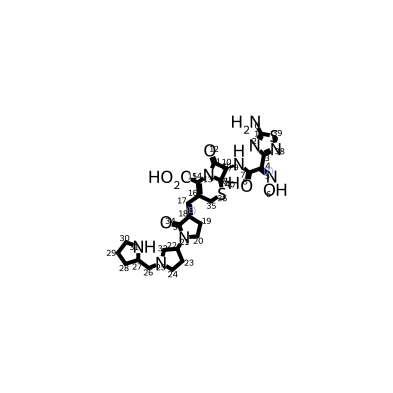 Nc1nc(/C(=N/O)C(=O)N[C@@H]2C(=O)N3C(C(=O)O)=C(/C=C4\CCN(C5CCN(CC6CCCN6)C5)C4=O)CS[C@H]23)ns1